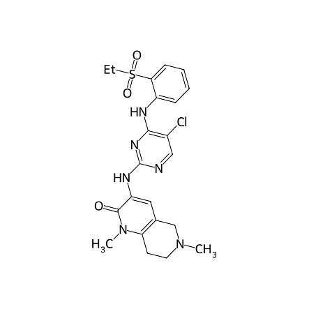 CCS(=O)(=O)c1ccccc1Nc1nc(Nc2cc3c(n(C)c2=O)CCN(C)C3)ncc1Cl